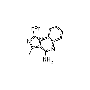 CCCc1nc(C)c2c(N)nc3ccccc3n12